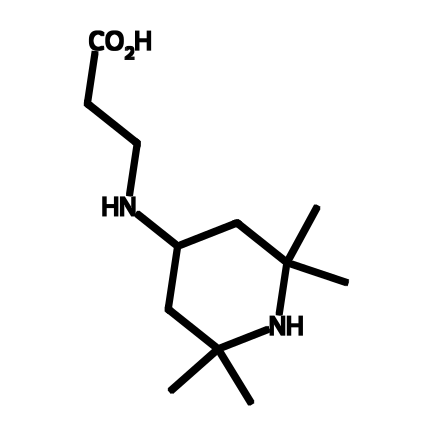 CC1(C)CC(NCCC(=O)O)CC(C)(C)N1